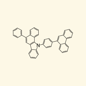 c1ccc(-c2cc3c4ccccc4n(-c4ccc(-c5cc6ccccc6c6ccccc56)cc4)c3c3ccccc23)cc1